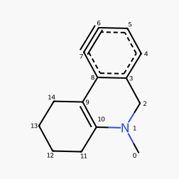 CN1Cc2ccc#cc2C2=C1CCCC2